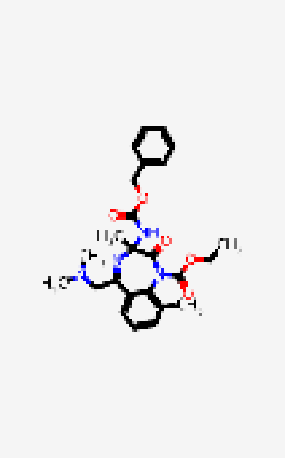 CCOC(=O)N1C(=O)C(C)(NC(=O)OCc2ccccc2)N=C(CN(C)C)c2cccc(C)c21